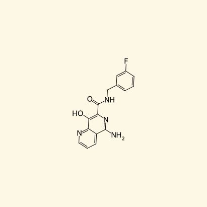 Nc1nc(C(=O)NCc2cccc(F)c2)c(O)c2ncccc12